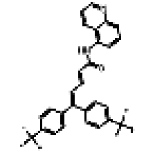 O=C(C=CC=C(c1ccc(C(F)(F)F)cc1)c1ccc(C(F)(F)F)cc1)Nc1cccc2ncccc12